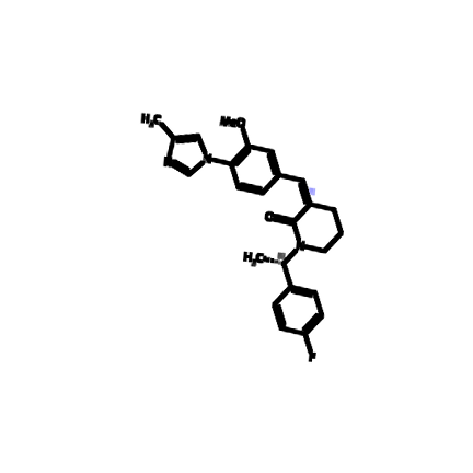 COc1cc(/C=C2/CCCN([C@@H](C)c3ccc(F)cc3)C2=O)ccc1-n1cnc(C)c1